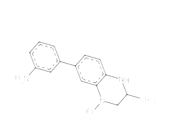 CC(C)N1CC(C=O)Nc2ccc(-c3cccc(N)c3)cc21